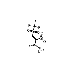 NC(=O)C(=CS(=O)(=O)C(F)(F)F)[S-](=O)=O.[Li+]